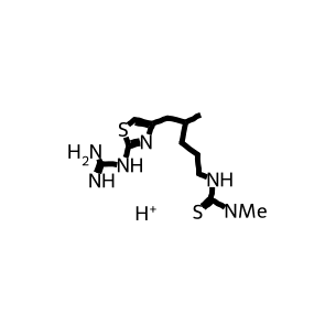 CNC(=S)NCCCC(C)Cc1csc(NC(=N)N)n1.[H+]